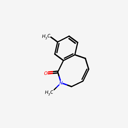 Cc1ccc2c(c1)C(=O)N(C)C/C=C\C2